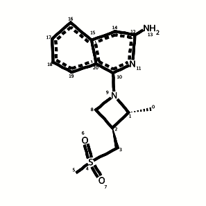 C[C@@H]1[C@@H](CS(C)(=O)=O)CN1c1nc(N)cc2ccccc12